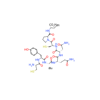 CC[C@H](C)[C@H](NC(=O)[C@H](Cc1ccc(O)cc1)NC(=O)[C@@H](N)CS)C(=O)N[C@@H](CCC(N)=O)C(=O)N[C@@H](CC(N)=O)C(=O)N[C@@H](CS)C(=O)N1CCC[C@H]1C(=O)N[C@@H](CC(C)C)C(=O)O